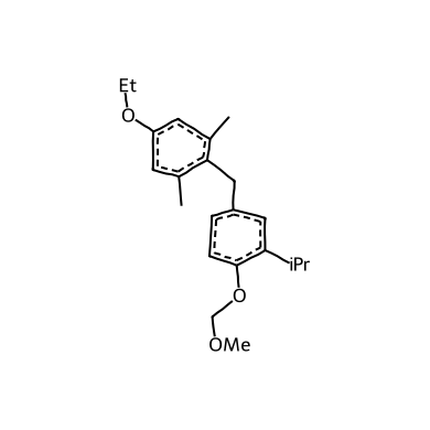 [CH2]COc1cc(C)c(Cc2ccc(OCOC)c(C(C)C)c2)c(C)c1